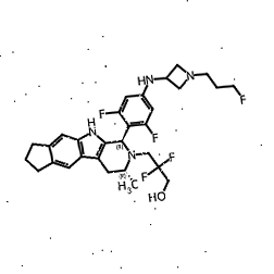 C[C@@H]1Cc2c([nH]c3cc4c(cc23)CCC4)[C@@H](c2c(F)cc(NC3CN(CCCF)C3)cc2F)N1CC(F)(F)CO